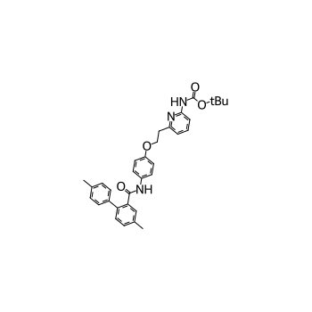 Cc1ccc(-c2ccc(C)cc2C(=O)Nc2ccc(OCCc3cccc(NC(=O)OC(C)(C)C)n3)cc2)cc1